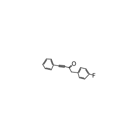 O=C(C#Cc1ccccc1)Cc1ccc(F)cc1